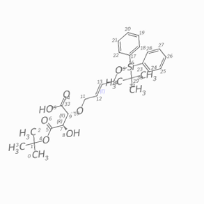 CC(C)(C)OC(=O)[C@H](O)[C@@H](OC/C=C/CO[Si](c1ccccc1)(c1ccccc1)C(C)(C)C)C(=O)O